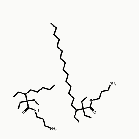 CCCCCC(CC)C(CC)(CC)C(=O)NCCCN.CCCCCCCCCCCCCCCC(CC)C(CC)(CC)C(=O)NCCCN